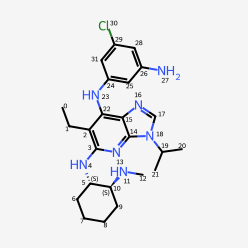 CCc1c(N[C@H]2CCCC[C@@H]2NC)nc2c(ncn2C(C)C)c1Nc1cc(N)cc(Cl)c1